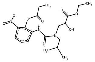 CCOC(=O)C(O)CN(CC(C)C)C(=O)Nc1cccc([N+](=O)[O-])c1OC(=O)CC